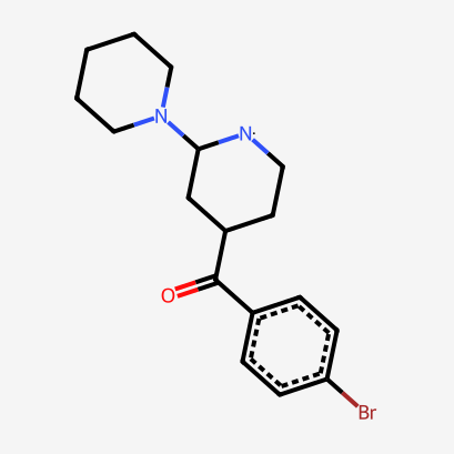 O=C(c1ccc(Br)cc1)C1CC[N]C(N2CCCCC2)C1